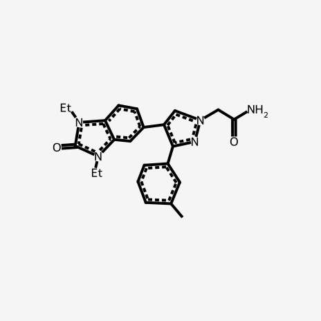 CCn1c(=O)n(CC)c2cc(-c3cn(CC(N)=O)nc3-c3cccc(C)c3)ccc21